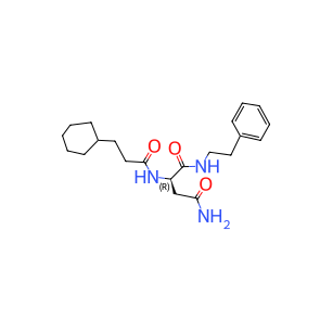 NC(=O)C[C@@H](NC(=O)CCC1CCCCC1)C(=O)NCCc1ccccc1